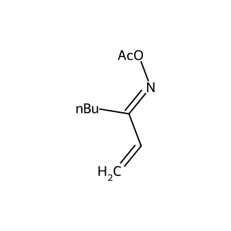 C=C/C(CCCC)=N/OC(C)=O